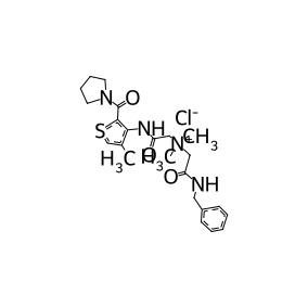 Cc1csc(C(=O)N2CCCC2)c1NC(=O)C[N+](C)(C)CC(=O)NCc1ccccc1.[Cl-]